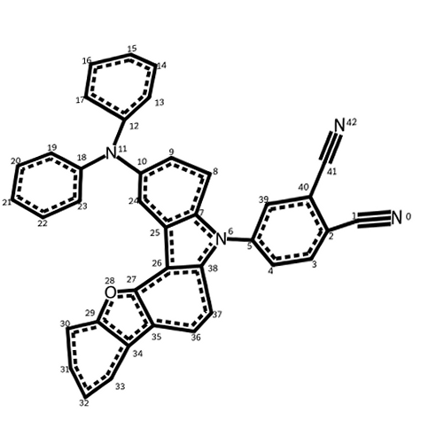 N#Cc1ccc(-n2c3ccc(N(c4ccccc4)c4ccccc4)cc3c3c4oc5ccccc5c4ccc32)cc1C#N